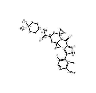 COc1ncc(F)c(-c2cc(C(=O)N3C4(CC4)CC(C(=O)N[C@H]4CC[C@@](O)(C(F)(F)F)CC4)CC34CC4)n[nH]2)c1C